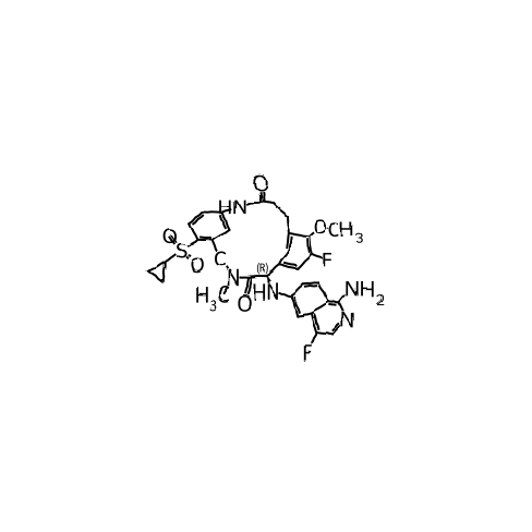 COc1c(F)cc2cc1CCC(=O)Nc1ccc(S(=O)(=O)C3CC3)c(c1)CN(C)C(=O)[C@@H]2Nc1ccc2c(N)ncc(F)c2c1